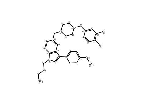 NCCCn1cc(-c2ccc(OC(F)(F)F)cc2)c2cc(CN3CCN(Cc4ccc(Cl)c(Cl)c4)CC3)ccc21